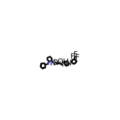 O[C@@H](CO/N=C1\CCCC\C1=C/c1ccccc1)CN1CCN(c2cccc(C(F)(F)F)c2)CC1